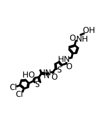 C/C(=N\NC(=O)c1ccc(C(=O)NCc2ccc(C(=O)NCCO)cc2)s1)c1csc(-c2ccc(Cl)c(Cl)c2)c1O